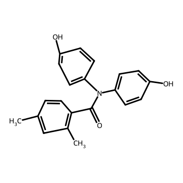 Cc1ccc(C(=O)N(c2ccc(O)cc2)c2ccc(O)cc2)c(C)c1